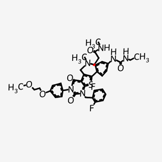 CCNC(=O)Nc1ccc(-c2sc3c(c2CN(C)CCC(=O)NC)c(=O)n(-c2ccc(OCCOC)cc2)c(=O)n3Cc2c(F)cccc2F)cc1